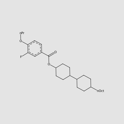 CCCCCCCCC1CCC(C2CCC(OC(=O)c3ccc(OCCC)c(F)c3)CC2)CC1